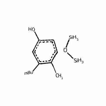 CCCCc1cc(O)ccc1C.[SiH3]O[SiH3]